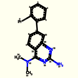 CC(C)c1ccccc1-c1ccc2c(N(C)C)nc(N)nc2c1